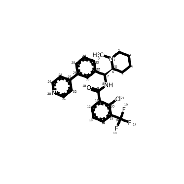 CN1CCCC[C@H]1C(NC(=O)c1cccc(C(F)(F)F)c1Cl)c1cccc(-c2ccncc2)c1